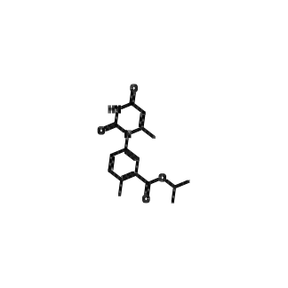 Cc1ccc(-n2c(C)cc(=O)[nH]c2=O)cc1C(=O)OC(C)C